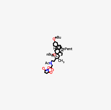 CCCCC[C@@H]1CC2C[C@H](OCCCC)CC[C@]2(C)[C@H]2C[C@H](OCCCC)[C@]3(C)[C@@H]([C@H](C)CCCN(CC(=O)ON4C(=O)CCC4=O)C(C)=O)CC[C@H]3C12